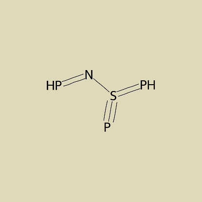 P#S(=P)N=P